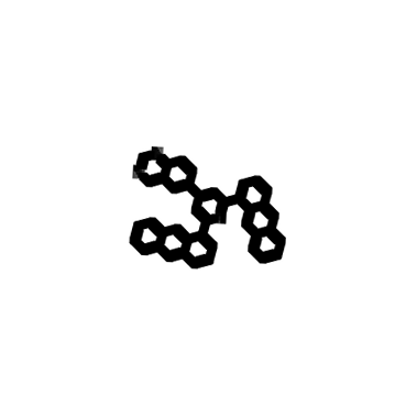 c1ccc2cc3c(-c4cc(-c5ccc6ncncc6c5)cc(-c5cccc6cc7ccccc7cc56)n4)cccc3cc2c1